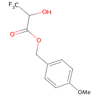 COc1ccc(COC(=O)C(O)C(F)(F)F)cc1